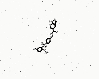 CCCOc1ccc(Cl)cc1S(=O)(=O)c1ccc(CNC(=O)c2cnc3[nH]ncc3c2)cc1